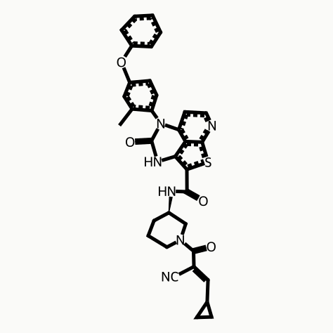 Cc1cc(Oc2ccccc2)ccc1N1C(=O)Nc2c(C(=O)N[C@@H]3CCCN(C(=O)/C(C#N)=C/C4CC4)C3)sc3nccc1c23